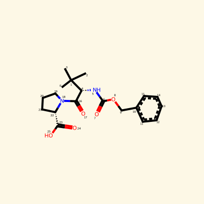 CC(C)(C)[C@H](NC(=O)OCc1ccccc1)C(=O)N1CCC[C@H]1C(=O)O